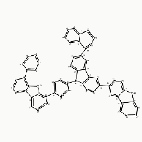 c1ccc(-c2cccc3c2oc2c(-c4ccc(-n5c6ccc(-c7ccc8oc9ccccc9c8c7)cc6c6cc(-c7cccc8ccccc78)ccc65)cc4)cccc23)cc1